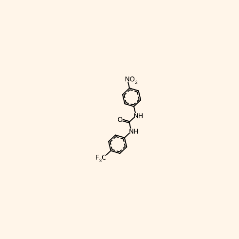 O=C(Nc1ccc([N+](=O)[O-])cc1)Nc1ccc(C(F)(F)F)cc1